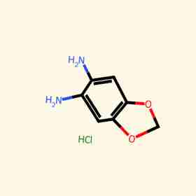 Cl.Nc1cc2c(cc1N)OCO2